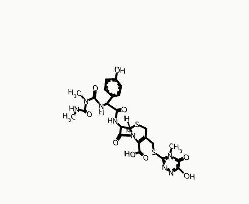 CNC(=O)N(C)C(=O)NC(C(=O)NC1C(=O)N2C(C(=O)O)=C(CSc3nnc(O)c(=O)n3C)CS[C@@H]12)c1ccc(O)cc1